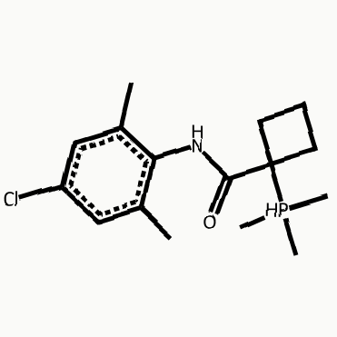 Cc1cc(Cl)cc(C)c1NC(=O)C1([PH](C)(C)C)CCC1